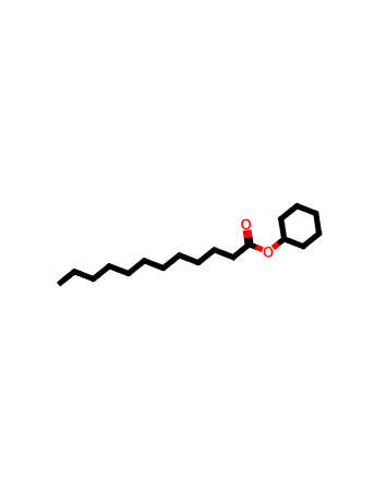 CCCCCCCCCC[CH]C(=O)OC1CCCCC1